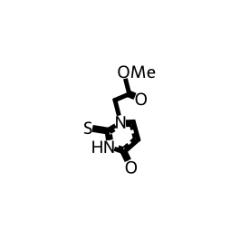 COC(=O)Cn1ccc(=O)[nH]c1=S